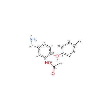 CC(=O)O.Cc1ccc(Oc2ccc(CN)cc2)cc1